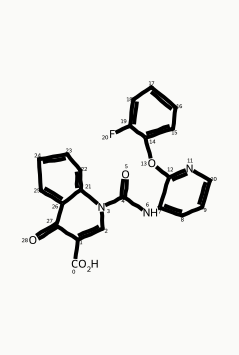 O=C(O)c1cn(C(=O)Nc2cccnc2Oc2ccccc2F)c2ccccc2c1=O